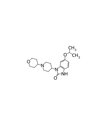 CC(C)Oc1ccc2[nH]c(=O)n(C3CCN(C4CCOCC4)CC3)c2c1